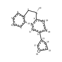 C[C@@H](Cc1ccncc1)c1nnc(-c2ccoc2)nn1